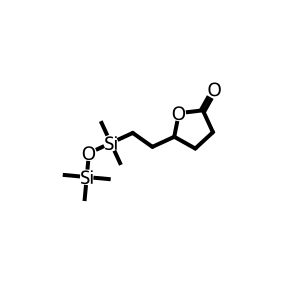 C[Si](C)(C)O[Si](C)(C)CCC1CCC(=O)O1